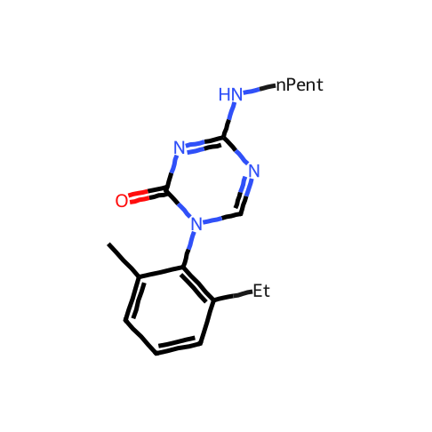 CCCCCNc1ncn(-c2c(C)cccc2CC)c(=O)n1